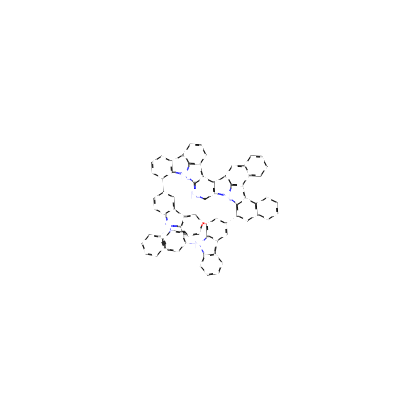 c1ccc(-n2c3ccccc3c3cc(-c4cc5ccccc5c5c6c7ccccc7cc7c8c9c%10cccc%11c%12cccc(-c%13ccc%14c(c%13)c%13ccccc%13n%14-c%13ccccc%13)c%12n(c9ncc8n(c45)c76)c%11%10)ccc32)cc1